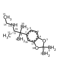 BC1(B)Oc2ccc(C(B)(B)[C@H](C)NCC)cc2O1